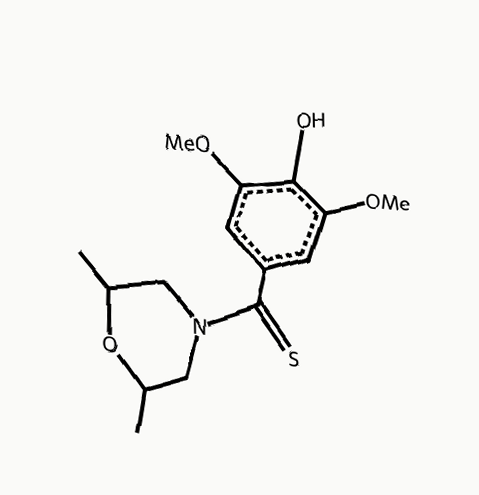 COc1cc(C(=S)N2CC(C)OC(C)C2)cc(OC)c1O